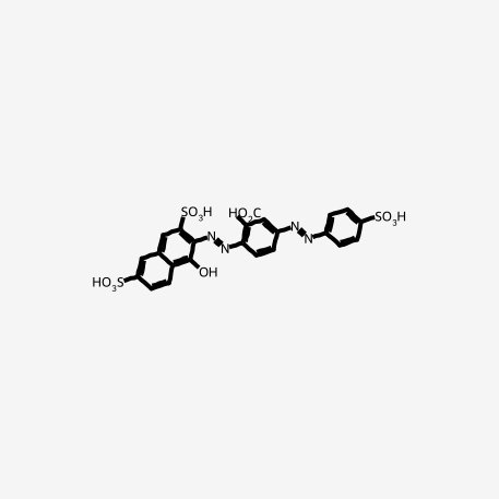 O=C(O)c1cc(/N=N/c2ccc(S(=O)(=O)O)cc2)ccc1/N=N/c1c(S(=O)(=O)O)cc2cc(S(=O)(=O)O)ccc2c1O